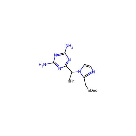 CCCCCCCCCCCc1nccn1C(CCC)c1nc(N)nc(N)n1